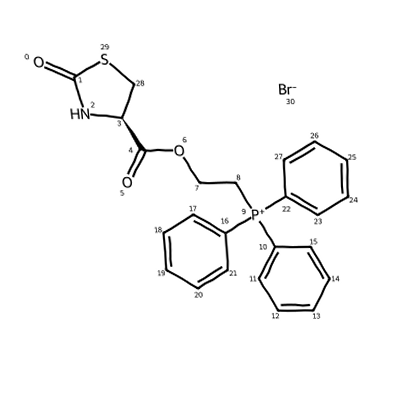 O=C1N[C@H](C(=O)OCC[P+](c2ccccc2)(c2ccccc2)c2ccccc2)CS1.[Br-]